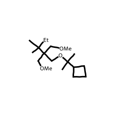 CCC(C)(C)C(COC)(COC)COC(C)(C)C1CCC1